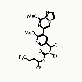 CCN(C(=O)NC(CCC(F)(F)F)C(F)(F)F)C(C)c1cnc(OC)c(-c2cn3ccnc3c(OC)n2)c1